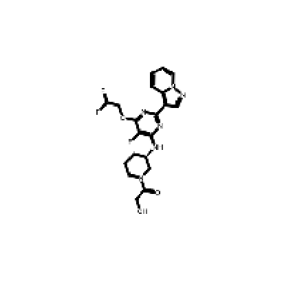 O=C(CO)N1CCC[C@@H](Nc2nc(-c3cnn4ccccc34)nc(OCC(F)F)c2F)C1